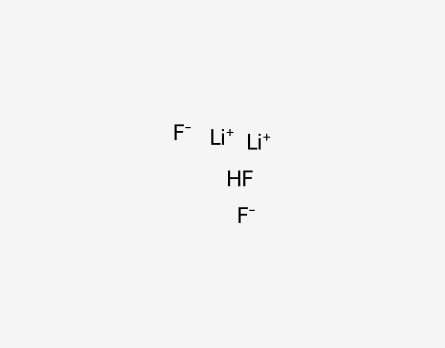 F.[F-].[F-].[Li+].[Li+]